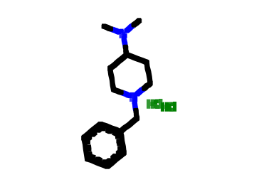 CN(C)C1CCN(Cc2ccccc2)CC1.Cl.Cl